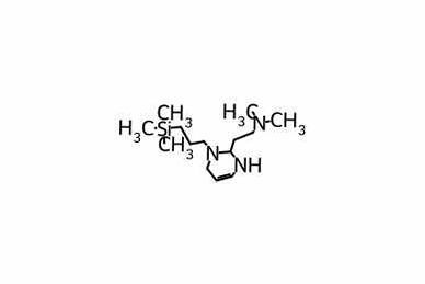 CN(C)CCC1NC=CCN1CCC[Si](C)(C)C